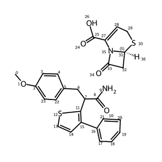 COc1ccc(CC(C(N)=O)c2sccc2-c2ccccc2)cc1.O=C(O)C1=CCS[C@H]2CC(=O)N12